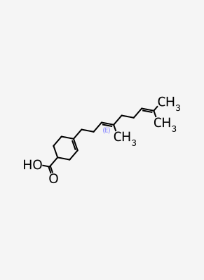 CC(C)=CCC/C(C)=C/CCC1=CCC(C(=O)O)CC1